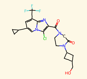 O=C(c1nc2c(C(F)(F)F)cc(C3CC3)cn2c1Cl)N1CCN(C2CC(CO)C2)C(=O)C1